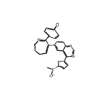 C[S+]([O-])c1ccc(-c2ncnc3ccc(C4=CCCCN=C4c4ccc(Cl)cc4)cc23)s1